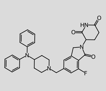 O=C1CCC(N2Cc3cc(CN4CCC(N(c5ccccc5)c5ccccc5)CC4)cc(F)c3C2=O)C(=O)N1